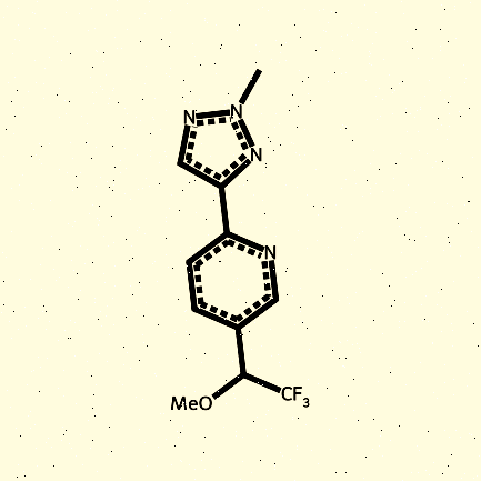 COC(c1ccc(-c2cnn(C)n2)nc1)C(F)(F)F